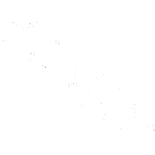 O=S(=O)(NCc1nc2ncccn2n1)c1ccc(Cl)cc1